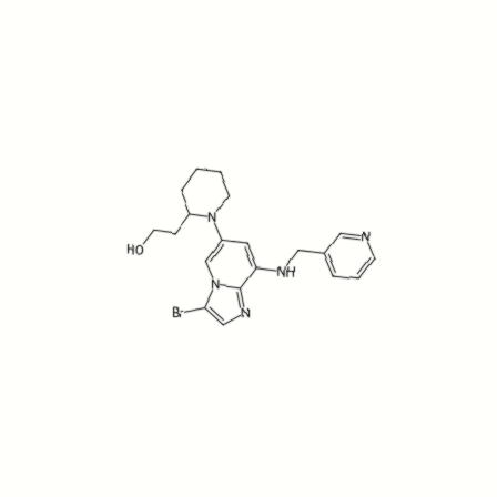 OCCC1CCCCN1c1cc(NCc2cccnc2)c2ncc(Br)n2c1